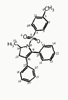 Cc1ccc(S(=O)(=O)N2C(c3ccccc3)=C(c3ccccc3)CC2C)cc1